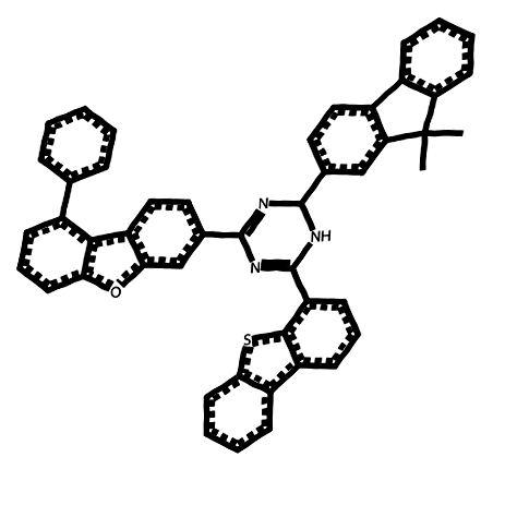 CC1(C)c2ccccc2-c2ccc(C3N=C(c4ccc5c(c4)oc4cccc(-c6ccccc6)c45)N=C(c4cccc5c4sc4ccccc45)N3)cc21